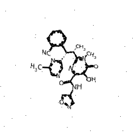 Cc1cncc([C@H](c2ccccc2C#N)[C@H](C)c2nc(C(=O)Nc3cnoc3)c(O)c(=O)n2C)n1